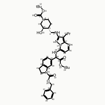 CC(C)c1c(NC[C@H]2CCN(C(=O)OC(C)(C)C)C[C@@H]2O)nn2c(NC(C(=O)OC(C)(C)C)c3ccc4c(c3)N(C(=O)OCc3ccccc3)CC4)ccnc12